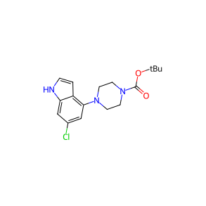 CC(C)(C)OC(=O)N1CCN(c2cc(Cl)cc3[nH]ccc23)CC1